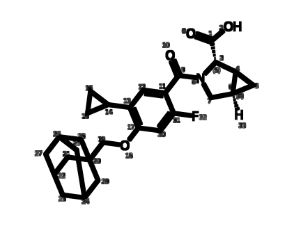 O=C(O)[C@@H]1C2C[C@H]2CN1C(=O)c1cc(C2CC2)c(OCC23CC4CC(CC(C4)C2)C3)cc1F